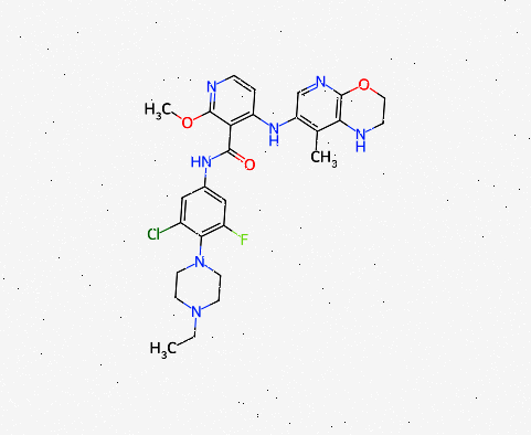 CCN1CCN(c2c(F)cc(NC(=O)c3c(Nc4cnc5c(c4C)NCCO5)ccnc3OC)cc2Cl)CC1